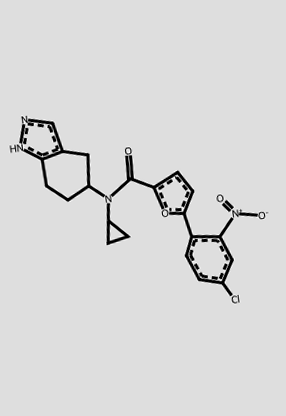 O=C(c1ccc(-c2ccc(Cl)cc2[N+](=O)[O-])o1)N(C1CC1)C1CCc2[nH]ncc2C1